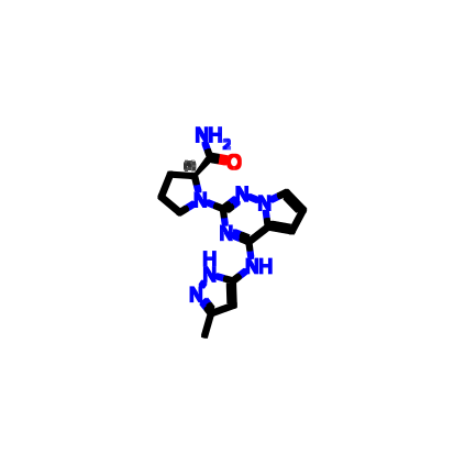 Cc1cc(Nc2nc(N3CCC[C@H]3C(N)=O)nn3cccc23)[nH]n1